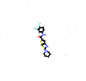 O=C(Nc1ccc(F)c(F)c1)c1cc2nc(N3CCCCC3)sc2s1